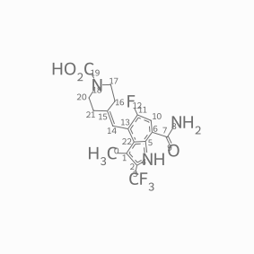 Cc1c(C(F)(F)F)[nH]c2c(C(N)=O)cc(F)c(C=C3CCN(C(=O)O)CC3)c12